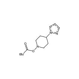 CC(C)(C)C(=O)ON1CCC(n2cccn2)CC1